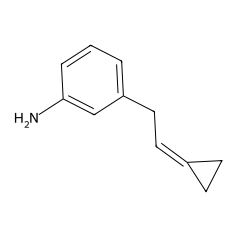 Nc1cccc(CC=C2CC2)c1